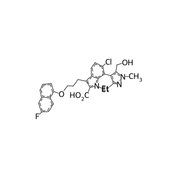 CCc1nn(C)c(CO)c1-c1c(Cl)ccc2c(CCCOc3cccc4cc(F)ccc34)c(C(=O)O)n(CC)c12